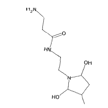 CC1CC(O)N(CCNC(=O)CCN)C1O